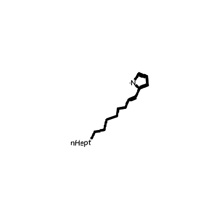 CCCCCCCCCCCCCC=CC1=CC=C[N]1